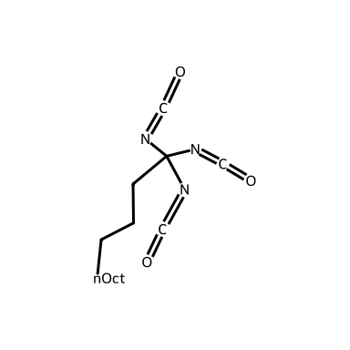 CCCCCCCCCCCC(N=C=O)(N=C=O)N=C=O